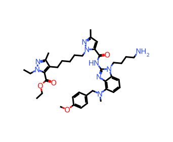 CCOC(=O)c1c(CCCCCn2nc(C)cc2C(=O)Nc2nc3c(N(C)Cc4ccc(OC)cc4)cccc3n2CCCCN)c(C)nn1CC